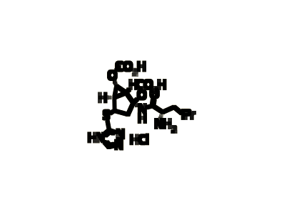 CC(C)C[C@H](N)C(=O)N[C@]1(OC(=O)O)C[C@@H](Sc2nnc[nH]2)[C@H]2[C@H](OC(=O)O)[C@@H]21.Cl